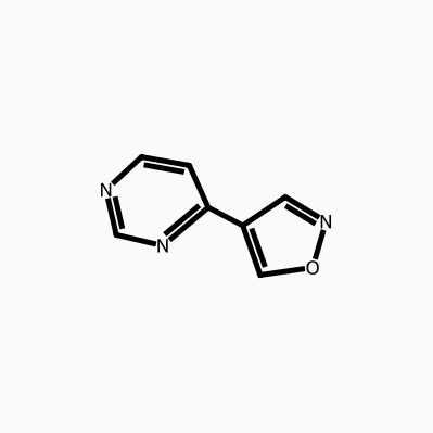 c1cc(-c2cnoc2)ncn1